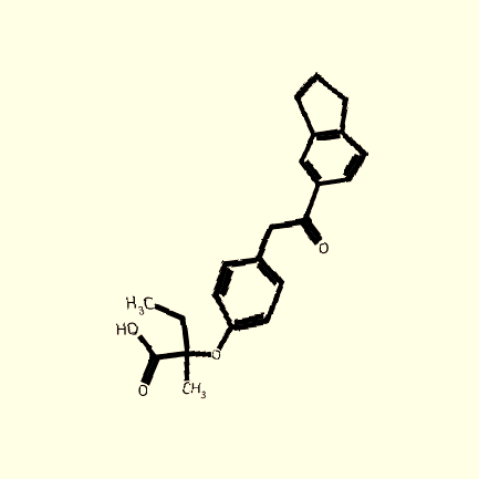 CCC(C)(Oc1ccc(CC(=O)c2ccc3c(c2)CCC3)cc1)C(=O)O